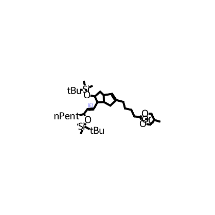 CCCCCC(/C=C/C1C(O[Si](C)(C)C(C)(C)C)CC2C=C(CCCCC34OCC(C)(CO3)CO4)CC21)O[Si](C)(C)C(C)(C)C